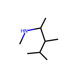 CNC(C)C(C)C(C)C